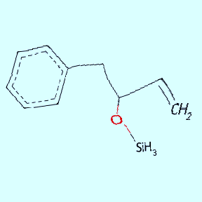 C=CC(Cc1ccccc1)O[SiH3]